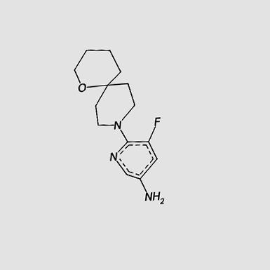 Nc1cnc(N2CCC3(CCCCO3)CC2)c(F)c1